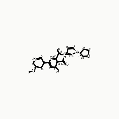 COC1CN=CC(C2=CC(C)C3C(=O)N(c4ccn([C@@H]5CCOC5)n4)C(C)C3=N2)C1